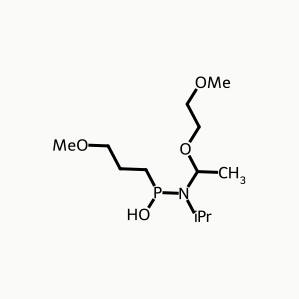 COCCCP(O)N(C(C)C)C(C)OCCOC